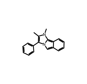 Cc1c(-c2ccccc2)n2cc3ccccc3c2n1C